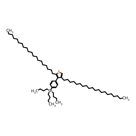 CCCCCCCCCCCCCCCCCCCCc1csc(CCCCCCCCCCCCCCCCCCCC)c1-c1cc[c]([Sn]([CH2]CCC)([CH2]CCC)[CH2]CCC)cc1